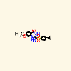 COc1ccc2c(=O)[nH]c3c(S(=O)(=O)c4ccc(C5CC5)cc4)nnn3c2c1